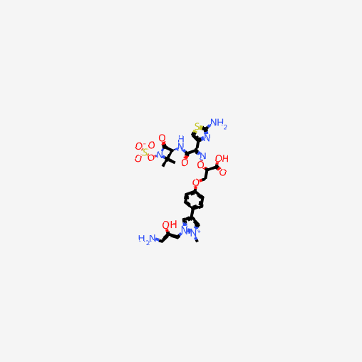 C[n+]1cc(-c2ccc(OCC(O/N=C(\C(=O)N[C@@H]3C(=O)N(OS(=O)(=O)[O-])C3(C)C)c3csc(N)n3)C(=O)O)cc2)cn1CC(O)CN